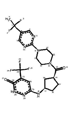 CC(F)(F)c1cnc(N2CCN(C(=O)[C@H]3CC[C@@H](Nc4cc(C(F)(F)F)c(=O)[nH]n4)C3)CC2)nc1